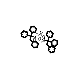 [O]=[Cr](=[O])([O][SiH2]C(Cc1ccccc1)(c1ccccc1)c1ccccc1)[O][SiH2]C(Cc1ccccc1)(c1ccccc1)c1ccccc1